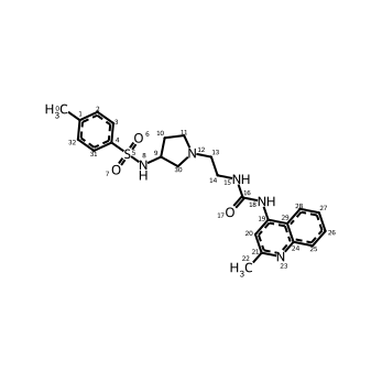 Cc1ccc(S(=O)(=O)NC2CCN(CCNC(=O)Nc3cc(C)nc4ccccc34)C2)cc1